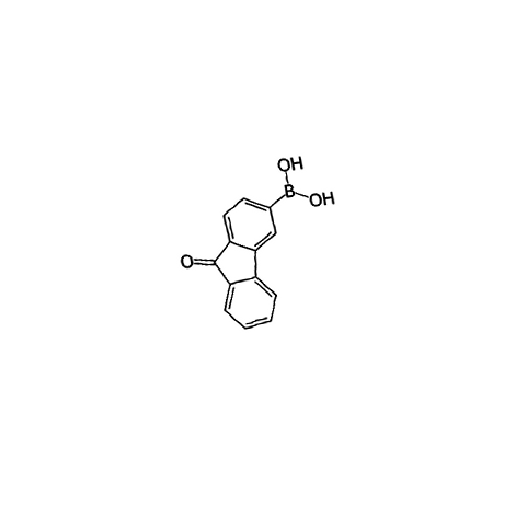 O=C1c2ccccc2-c2cc(B(O)O)ccc21